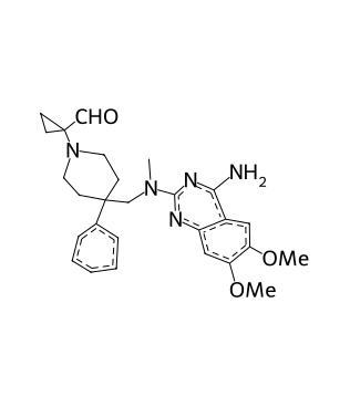 COc1cc2nc(N(C)CC3(c4ccccc4)CCN(C4(C=O)CC4)CC3)nc(N)c2cc1OC